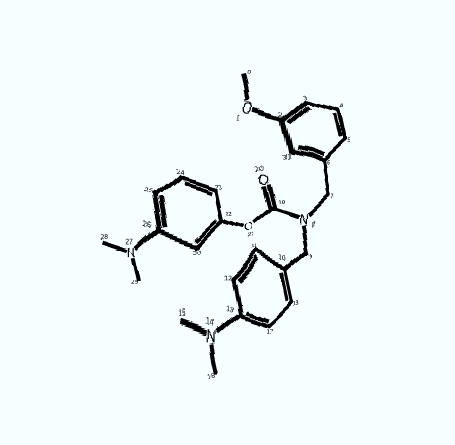 COc1cccc(CN(Cc2ccc(N(C)C)cc2)C(=O)Oc2cccc(N(C)C)c2)c1